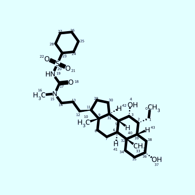 CC[C@H]1[C@@H](O)[C@@H]2[C@H](CC[C@]3(C)[C@@H](CCCN(C)C(=O)NS(=O)(=O)C4CCCCC4)CC[C@@H]23)[C@@]2(C)CC[C@@H](O)C[C@@H]12